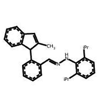 CC1=Cc2ccccc2C1c1ccccc1/C=N/Nc1c(C(C)C)cccc1C(C)C